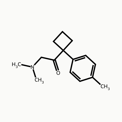 Cc1ccc(C2(C(=O)CN(C)C)CCC2)cc1